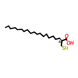 CCCCCCCCCCCCCCCCCC[C@H](CS)C(=O)O